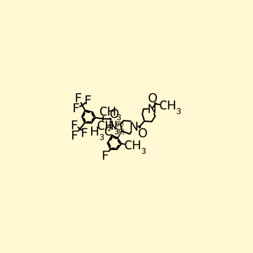 CC(=O)N1CCC(C(=O)N2CC[C@@H](N(C)C(=O)C(C)(C)c3cc(C(F)(F)F)cc(C(F)(F)F)c3)[C@H](c3ccc(F)cc3C)C2)CC1